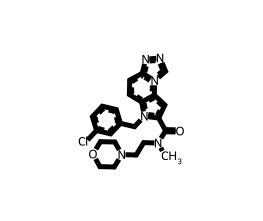 CN(CCN1CCOCC1)C(=O)c1cc2c(ccc3nncn32)n1Cc1cccc(Cl)c1